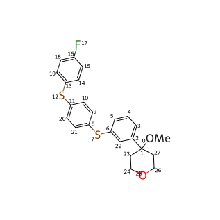 COC1(c2cccc(Sc3ccc(Sc4ccc(F)cc4)cc3)c2)CCOCC1